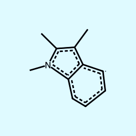 Cc1c(C)n(C)c2ccc[c]c12